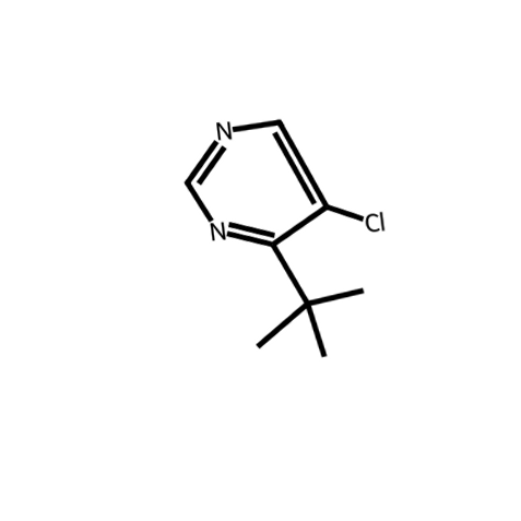 CC(C)(C)c1ncncc1Cl